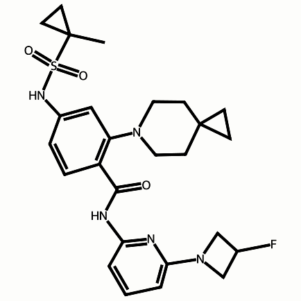 CC1(S(=O)(=O)Nc2ccc(C(=O)Nc3cccc(N4CC(F)C4)n3)c(N3CCC4(CC3)CC4)c2)CC1